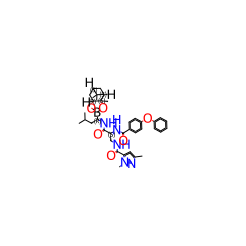 Cc1cc(C(=O)NC[C@H](NC(=O)c2ccc(Oc3ccccc3)cc2)C(=O)N[C@@H](CC(C)C)B2O[C@@H]3C[C@@H]4C[C@@H](C4(C)C)[C@]3(C)O2)n(C)n1